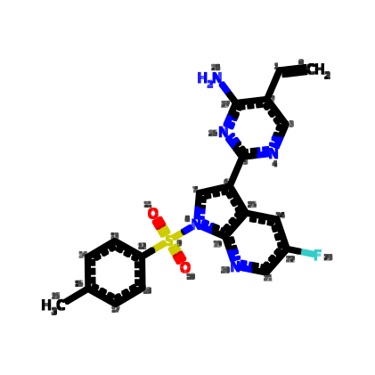 C=Cc1cnc(-c2cn(S(=O)(=O)c3ccc(C)cc3)c3ncc(F)cc23)nc1N